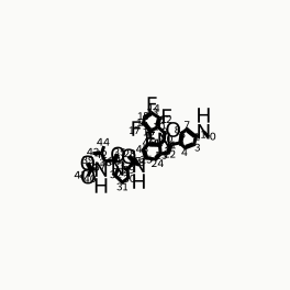 CNc1ccc2c(c1)OC(c1c(F)c(F)cc(F)c1F)n1c-2cc2cc(NC(=O)C3CCCN3C(=O)C(NC(=O)OC)C(C)C)ccc21